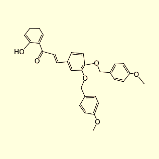 COc1ccc(COc2ccc(/C=C/C(=O)C3=CCCC=C3O)cc2OCc2ccc(OC)cc2)cc1